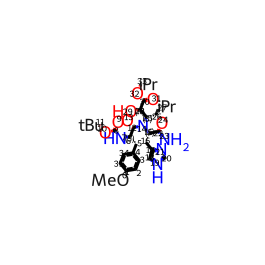 COc1ccc(C[C@H](NC(=O)OC(C)(C)C)C(=O)N([C@@H](Cc2c[nH]cn2)C(N)=O)[C@@H](CC(C)C)[C@@H](O)C(=O)OC(C)C)cc1